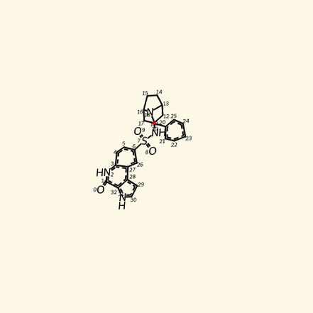 O=c1[nH]c2ccc(S(=O)(=O)NC3CC4CCC(C3)N4Cc3ccccc3)cc2c2cc[nH]c12